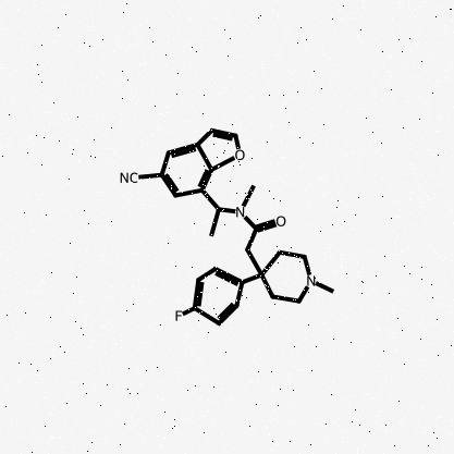 CC(c1cc(C#N)cc2ccoc12)N(C)C(=O)CC1(c2ccc(F)cc2)CCN(C)CC1